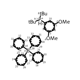 COc1cc(OC)cc([PH+](C(C)(C)C)C(C)(C)C)c1.c1ccc([B-](c2ccccc2)(c2ccccc2)c2ccccc2)cc1